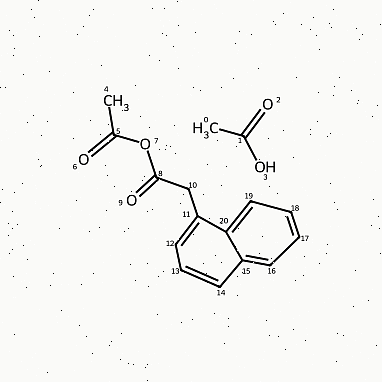 CC(=O)O.CC(=O)OC(=O)Cc1cccc2ccccc12